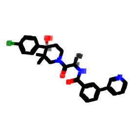 CC(C)[C@@H](NC(=O)c1cccc(-c2cccnc2)c1)C(=O)N1CC[C@](O)(c2ccc(Cl)cc2)C(C)(C)C1